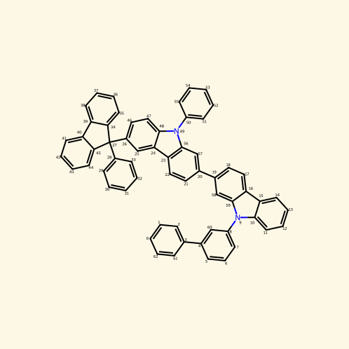 c1ccc(-c2cccc(-n3c4ccccc4c4ccc(-c5ccc6c7cc(C8(c9ccccc9)c9ccccc9-c9ccccc98)ccc7n(-c7ccccc7)c6c5)cc43)c2)cc1